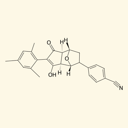 Cc1cc(C)c(C2=C(O)[C@H]3[C@@H](C2=O)[C@@H]2CC(c4ccc(C#N)cc4)[C@H]3O2)c(C)c1